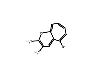 CC1=C(N)NC2=CC=CC=C(Br)C2=C1